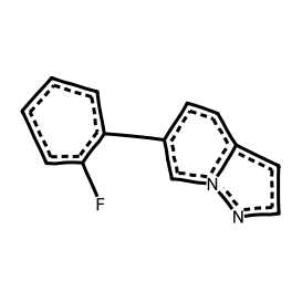 Fc1ccccc1-c1ccc2ccnn2c1